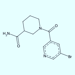 NC(=O)C1CCCN(C(=O)c2cncc(Br)c2)C1